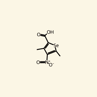 Cc1[se]c(C(=O)O)c(C)c1[N+](=O)[O-]